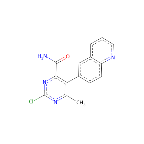 Cc1nc(Cl)nc(C(N)=O)c1-c1ccc2ncccc2c1